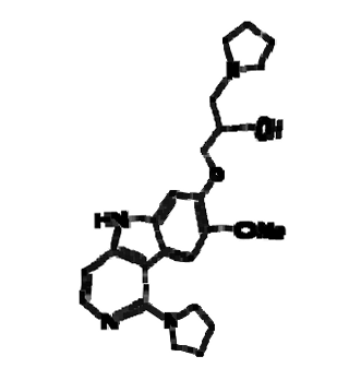 COc1cc2c(cc1OCC(O)CN1CCCC1)[nH]c1ccnc(N3CCCC3)c12